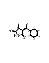 CC(=C1C(=O)NC(=O)C1C)c1ccccc1